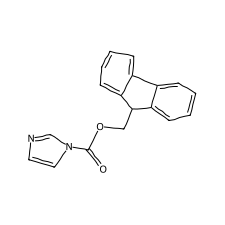 O=C(OCC1c2ccccc2-c2ccccc21)n1ccnc1